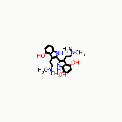 CN(C)CCc1c(-c2[nH]c3c(O)ccc(O)c3c2CCN(C)C)[nH]c2cccc(O)c12